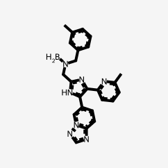 BN(Cc1cccc(C)c1)Cc1nc(-c2cccc(C)n2)c(-c2ccc3ncnn3c2)[nH]1